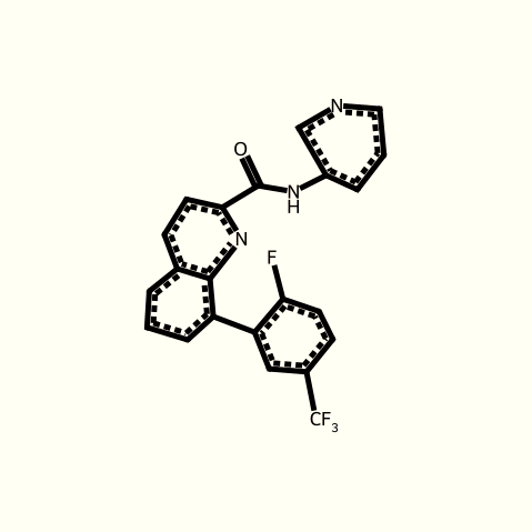 O=C(Nc1cccnc1)c1ccc2cccc(-c3cc(C(F)(F)F)ccc3F)c2n1